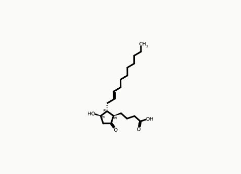 CCCCCCCCC=CC[C@H]1[C@H](O)CC(=O)[C@@H]1CCCC(=O)O